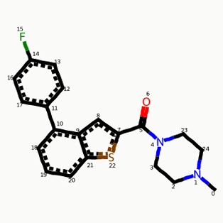 CN1CCN(C(=O)c2cc3c(-c4ccc(F)cc4)cccc3s2)CC1